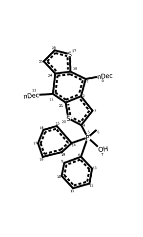 CCCCCCCCCCc1c2cc(P(C)(O)(c3ccccc3)c3ccccc3)sc2c(CCCCCCCCCC)c2ccsc12